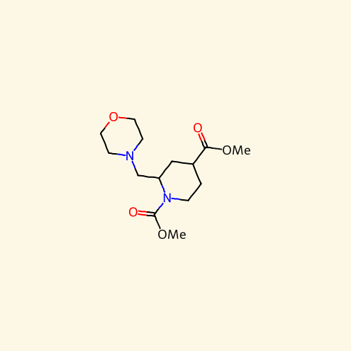 COC(=O)C1CCN(C(=O)OC)C(CN2CCOCC2)C1